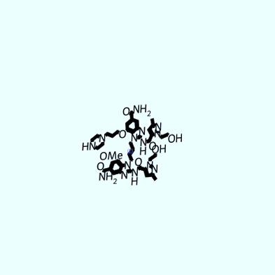 COc1cc(C(N)=O)cc2nc(NC(=O)c3cc(C)nn3CCO)n(C/C=C/Cn3c(NC(=O)c4cc(C)nn4CCO)nc4cc(C(N)=O)cc(OCCCN5CCNCC5)c43)c12